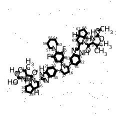 COC(=O)N[C@H](C(=O)N1C(c2nc3cc([C@H]4CC[C@H](c5ccc6[nH]c([C@@H]7C[C@@H]8CCC[C@@H]8N7C(=O)[C@@H](NC(=O)O)C(C)C)nc6c5)N4c4cc(F)c(N5CCCCC5)c(F)c4)ccc3[nH]2)C[C@@H]2CCC[C@@H]21)C(C)C